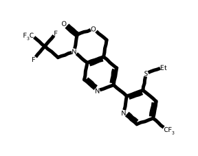 CCSc1cc(C(F)(F)F)cnc1-c1cc2c(cn1)N(CC(F)(F)C(F)(F)F)C(=O)OC2